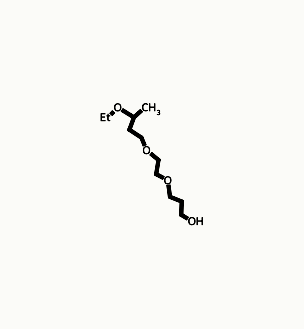 CCOC(C)CCOCCOCCCO